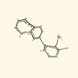 Nc1c(Cl)ncnc1-c1ccc2cccnc2c1